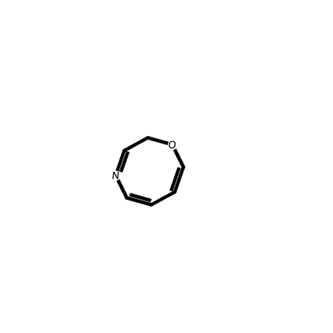 C1=CN=CCOC=C1